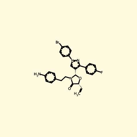 C=C[C@H]1O[C@@H](c2cn(-c3ccc(Br)cc3)nc2-c2ccc(F)cc2)N(CCc2ccc(N)cc2)C1=O